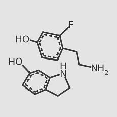 NCCc1ccc(O)cc1F.Oc1ccc2c(c1)NCC2